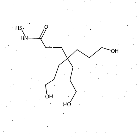 O=C(CCC(CCCO)(CCCO)CCCO)NS